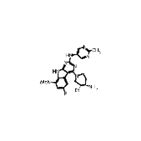 CC[C@@H]1CN(c2nc(Nc3cnc(C)nc3)nc3[nH]c4c(NC)cc(F)cc4c23)CC[C@H]1N